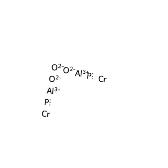 [Al+3].[Al+3].[Cr].[Cr].[O-2].[O-2].[O-2].[P].[P]